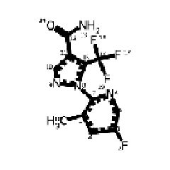 Cc1cc(F)cnc1-n1ncc(C(N)=O)c1C(F)(F)F